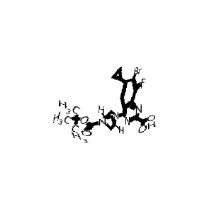 CC(C)(C)OC(=O)N1C[C@@H]2C[C@H]1CN2c1nc(C(=O)O)nc2c(F)c(Br)c(C3CC3)cc12